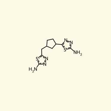 Nc1nnc(CC2CCC(c3nnc(N)s3)C2)s1